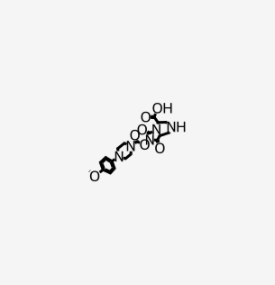 COc1ccc(N2CCN(C(=O)ON3C(=O)C4CNCC(C(=O)O)N4C3=O)CC2)cc1